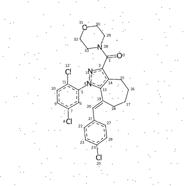 O=C(c1nn(-c2cc(Cl)ccc2Cl)c2c1CCCCC2=Cc1ccc(Cl)cc1)N1CCOCC1